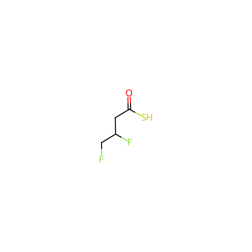 O=C(S)CC(F)CF